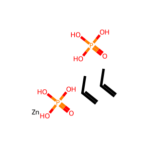 C=CC.C=CC.O=P(O)(O)O.O=P(O)(O)O.[Zn]